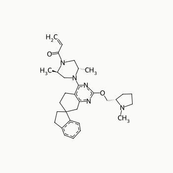 C=CC(=O)N1C[C@H](C)N(c2nc(OC[C@@H]3CCCN3C)nc3c2CCC2(CCc4ccccc42)C3)C[C@H]1C